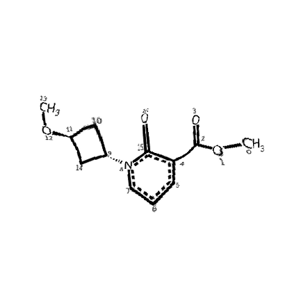 COC(=O)c1cccn([C@H]2C[C@H](OC)C2)c1=O